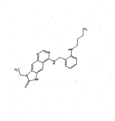 CCCCNc1ccccc1CNc1ncnc2cc3c(cc12)[nH]c(=S)n3CC